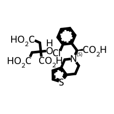 O=C(O)CC(O)(CC(=O)O)C(=O)O.O=C(O)[C@H](c1ccccc1Cl)N1CCc2sccc2C1